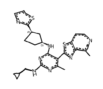 Cc1nc(NCC2CC2)nc(N[C@H]2CC[C@@H](c3nccs3)C2)c1-c1nc2c(C)nccc2s1